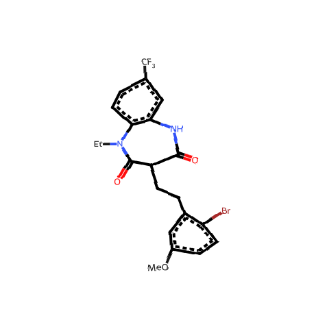 CCN1C(=O)C(CCc2cc(OC)ccc2Br)C(=O)Nc2cc(C(F)(F)F)ccc21